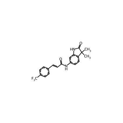 CC1(C)C(=O)Nc2cc(NC(=O)C=Cc3ccc(C(F)(F)F)cc3)ccc21